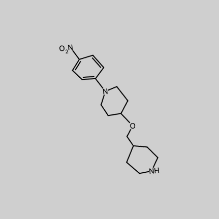 O=[N+]([O-])c1ccc(N2CCC(OCC3CCNCC3)CC2)cc1